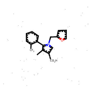 Cc1c(C(=O)O)cn(Cc2ccco2)c1-c1ccccc1C(F)(F)F